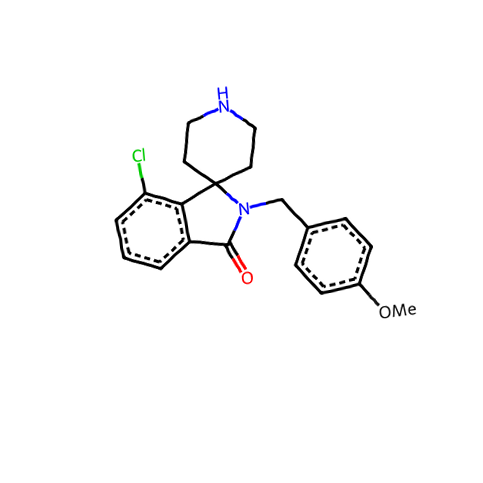 COc1ccc(CN2C(=O)c3cccc(Cl)c3C23CCNCC3)cc1